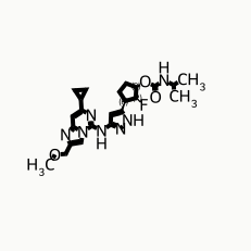 COCc1cn2c(Nc3cc([C@H]4CC[C@@H](OC(=O)NC(C)C)[C@@H]4F)[nH]n3)nc(C3CC3)cc2n1